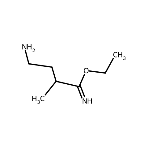 CCOC(=N)C(C)CCN